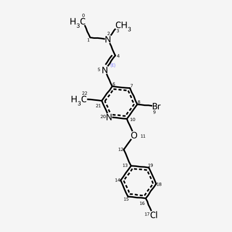 CCN(C)/C=N/c1cc(Br)c(OCc2ccc(Cl)cc2)nc1C